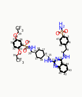 NS(=O)(=O)c1ccc(CCNc2nc(NC[C@H]3CC[C@H](CNS(=O)(=O)c4cc(OCC(F)(F)F)ccc4OCC(F)(F)F)CC3)nc3ccccc23)cc1